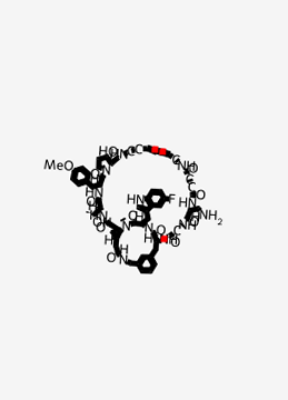 COc1ccc(C[C@@H]2NC(=O)[C@H]([C@@H](C)O)NC(=O)[C@@]34C[C@H]3CC(=O)NCc3cccc(c3)C[C@H](NC(=O)CNC(=O)[C@H](CN)NC(=O)CCC(=O)NCc3ccc(cc3)CCNC(O)[C@]3(C)CCCN3C2=O)C(=O)N[C@@H](Cc2c[nH]c3ccc(F)cc23)C(=O)N4C)cc1